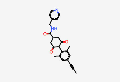 CC#Cc1cc(C)c(C2C(=O)CC(C(=O)NCc3ccncc3)CC2=O)c(C)c1